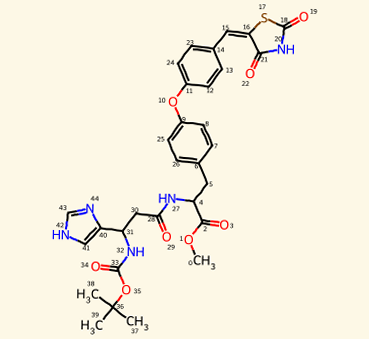 COC(=O)C(Cc1ccc(Oc2ccc(C=C3SC(=O)NC3=O)cc2)cc1)NC(=O)CC(NC(=O)OC(C)(C)C)c1c[nH]cn1